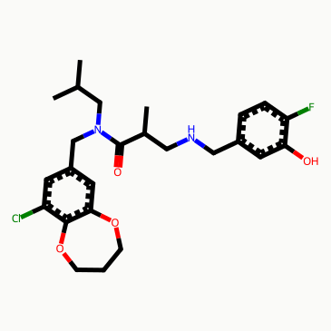 CC(C)CN(Cc1cc(Cl)c2c(c1)OCCCO2)C(=O)C(C)CNCc1ccc(F)c(O)c1